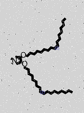 CCCCCCCC/C=C\CCCCCCCCO[C@@H]1C[N+](C)(C)C[C@H]1OCCCCCCCC/C=C\CCCCCCCC